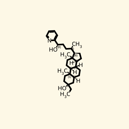 CC[C@]1(O)CC[C@@]2(C)[C@@H](CC[C@@H]3[C@@H]2CC[C@]2(C)[C@@H]([C@H](C)CC[C@@H](O)c4ccccn4)CC[C@@H]32)C1